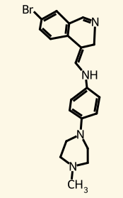 CN1CCN(c2ccc(NC=C3CN=Cc4cc(Br)ccc43)cc2)CC1